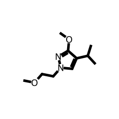 COCCn1cc(C(C)C)c(OC)n1